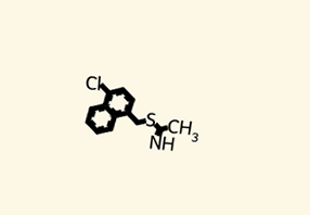 CC(=N)SCc1ccc(Cl)c2ccccc12